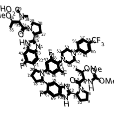 COC(=O)N[C@H](C(=O)N1CCC[C@H]1c1nc2cc([C@H]3CC[C@H](c4cc5nc([C@@H]6CCCN6C(=O)[C@H]([C@@H](C)OC)N(C)C(=O)O)[nH]c5cc4F)N3c3cc(F)c(N4CCN(c5ccc(C(F)(F)F)cc5)CC4)c(F)c3)c(F)cc2[nH]1)[C@@H](C)OC